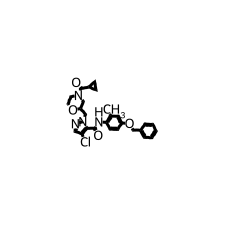 Cc1cc(OCc2ccccc2)ccc1NC(=O)c1c(Cl)cnn1CC1CN(C(=O)C2CC2)CCO1